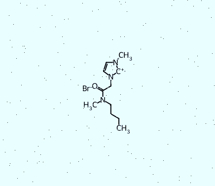 CCCCN(C)C(=O)CN1[C+]N(C)C=C1.[Br-]